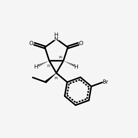 CC[C@]1(c2cccc(Br)c2)[C@@H]2C(=O)NC(=O)[C@@H]21